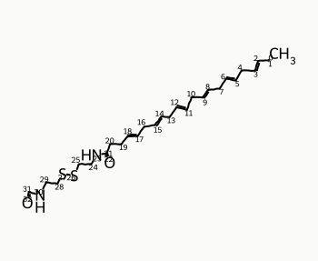 CCC=CCC=CCC=CCC=CCC=CCC=CCCC(=O)NCCSSCCNC=O